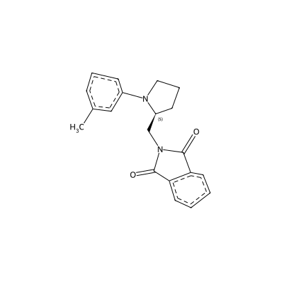 Cc1cccc(N2CCC[C@H]2CN2C(=O)c3ccccc3C2=O)c1